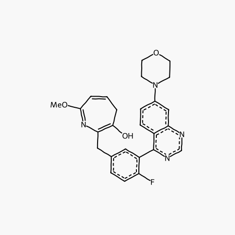 COC1=NC(Cc2ccc(F)c(-c3ncnc4cc(N5CCOCC5)ccc34)c2)=C(O)CC=C1